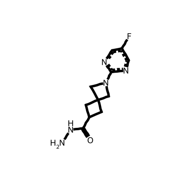 NNC(=O)C1CC2(C1)CN(c1ncc(F)cn1)C2